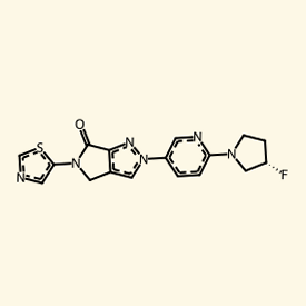 O=C1c2nn(-c3ccc(N4CC[C@H](F)C4)nc3)cc2CN1c1cncs1